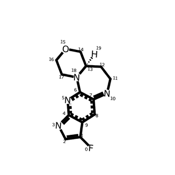 FC1=CN=c2nc3c(cc21)=NCC[C@@H]1COCCN31